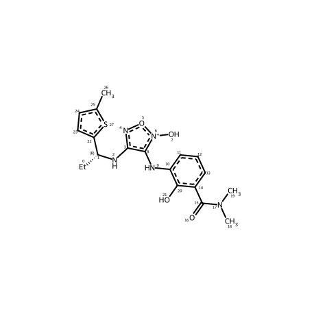 CC[C@@H](Nc1no[n+](O)c1Nc1cccc(C(=O)N(C)C)c1O)c1ccc(C)s1